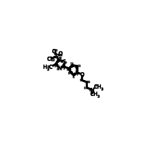 Cc1nc(-c2ccc(OCCCN(C)C)cc2)sc1S(=O)(=O)Cl